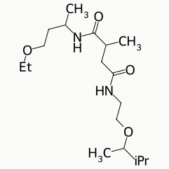 CCOCCC(C)NC(=O)C(C)CC(=O)NCCOC(C)C(C)C